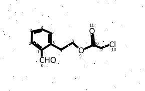 O=Cc1ccccc1CCOC(=O)CCl